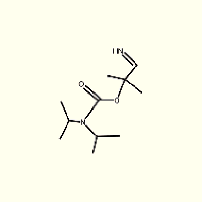 CC(C)N(C(=O)OC(C)(C)C=N)C(C)C